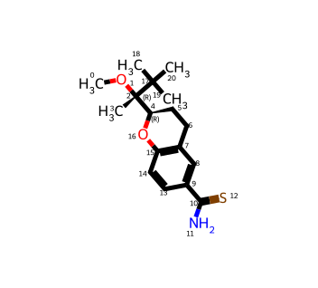 CO[C@@](C)([C@H]1CCc2cc(C(N)=S)ccc2O1)C(C)(C)C